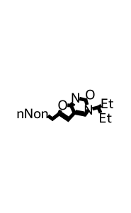 CCCCCCCCCCc1cc2cn(C(CC)CC)c(=O)nc2o1